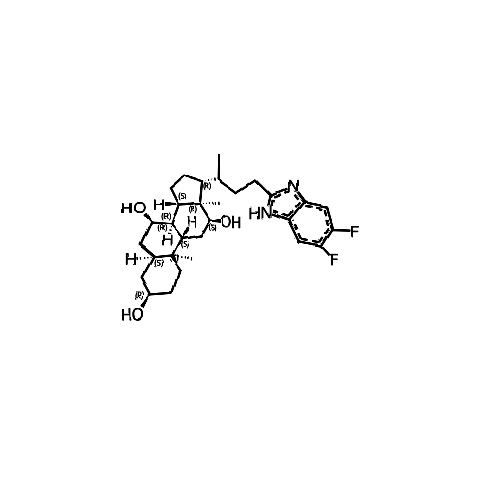 CC(CCc1nc2cc(F)c(F)cc2[nH]1)[C@H]1CC[C@H]2[C@@H]3[C@H](O)C[C@@H]4C[C@H](O)CC[C@]4(C)[C@H]3C[C@H](O)[C@]12C